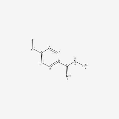 C=Cc1ccc(C(=N)NCCC)cc1